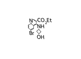 CCOC(=O)c1cnc2ccc(Br)cc2c1N[C@H]1C[C@@H](O)C1